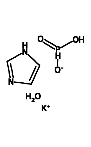 O.O=[PH]([O-])O.[K+].c1c[nH]cn1